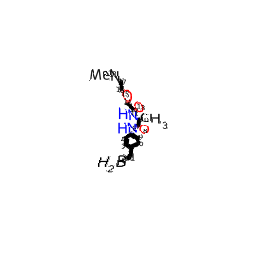 BCc1ccc(NC(=O)C(C)NC(=O)COCCNC)cc1